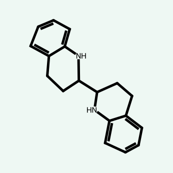 c1ccc2c(c1)CCC(C1CCc3ccccc3N1)N2